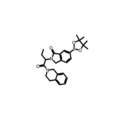 CCC(C(=O)N1CCc2ccccc2C1)N1Cc2ccc(B3OC(C)(C)C(C)(C)O3)cc2C1=O